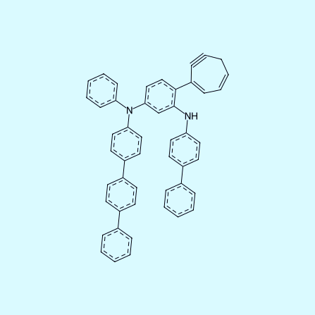 C1#CC(c2ccc(N(c3ccccc3)c3ccc(-c4ccc(-c5ccccc5)cc4)cc3)cc2Nc2ccc(-c3ccccc3)cc2)=CC=CC1